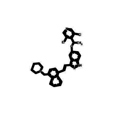 CC(Oc1ccc2[nH]nc(/C=C/c3ccc(CN4CCCCC4)c4ccccc34)c2c1)c1c(Cl)cncc1Cl